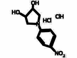 Cl.Cl.O=[N+]([O-])c1ccc(N2CC(O)C(O)C2)cc1